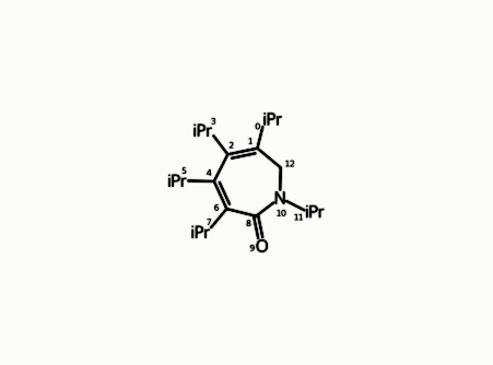 CC(C)C1=C(C(C)C)C(C(C)C)=C(C(C)C)C(=O)N(C(C)C)C1